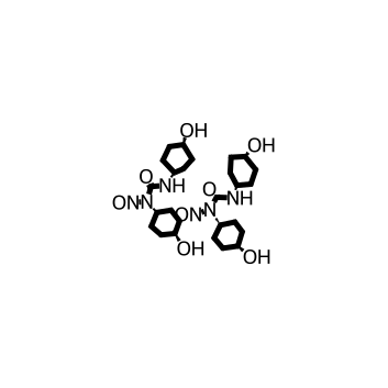 O=NN(C(=O)N[C@H]1CC[C@H](O)CC1)[C@H]1CC[C@H](O)CC1.O=NN(C(=O)N[C@H]1CC[C@H](O)CC1)[C@H]1CC[C@H](O)CC1